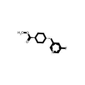 COC(=O)[C@H]1CC[C@H](Cc2cncc(F)c2)CC1